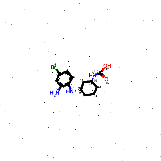 Nc1cc(Br)ccc1N[C@H]1CCC[C@@H](NC(=O)O)C1